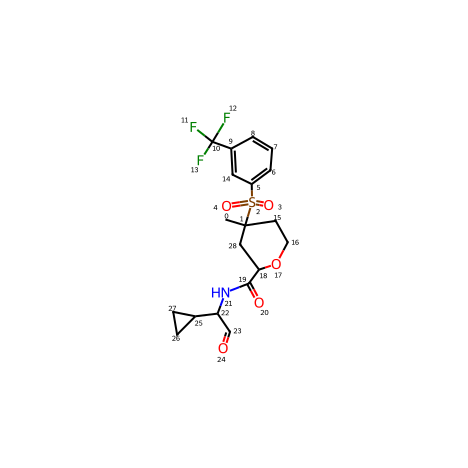 CC1(S(=O)(=O)c2cccc(C(F)(F)F)c2)CCOC(C(=O)NC(C=O)C2CC2)C1